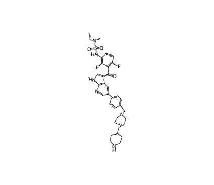 CCN(C)S(=O)(=O)Nc1ccc(F)c(C(=O)c2c[nH]c3ncc(-c4ccc(CN5CCN(C6CCNCC6)CC5)cc4)cc23)c1F